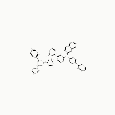 c1ccc(-c2ccc(N(c3cccc(-c4cccc5sc6c(-c7nc(-c8ccccc8)nc(-c8ccccc8)n7)cccc6c45)c3)c3ccc4ccccc4c3)cc2)cc1